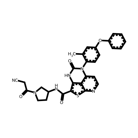 Cc1cc(Oc2ccccc2)ccc1N1C(=O)Nc2c(C(=O)NC3CCN(C(=O)CC#N)C3)sc3nccc1c23